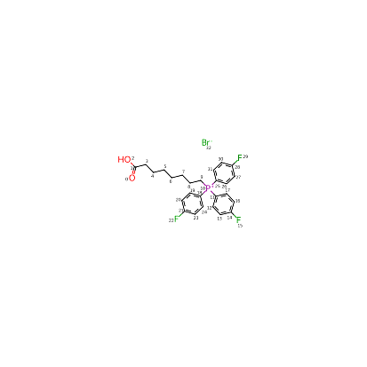 O=C(O)CCCCCCC[P+](c1ccc(F)cc1)(c1ccc(F)cc1)c1ccc(F)cc1.[Br-]